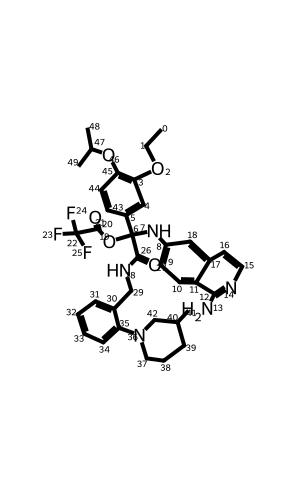 CCOc1cc(C(Nc2ccc3c(N)nccc3c2)(OC(=O)C(F)(F)F)C(=O)NCc2ccccc2N2CCCC(C)C2)ccc1OC(C)C